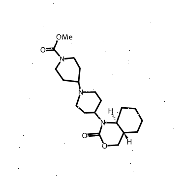 COC(=O)N1CCC(N2CCC(N3C(=O)OC[C@H]4CCCC[C@@H]43)CC2)CC1